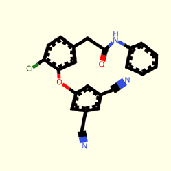 N#Cc1cc(C#N)cc(Oc2cc(CC(=O)Nc3ccccc3)ccc2Cl)c1